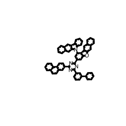 c1ccc(-c2cccc(-c3nc(-c4ccc5c(ccc6ccccc65)c4)nc(-c4cc(-n5c6ccccc6c6cc7ccccc7cc65)c5c(c4)oc4cc6ccccc6cc45)n3)c2)cc1